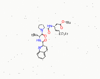 CCOC(=O)/C=C/[C@H](CC(=O)OC(C)(C)C)NC(=O)[C@H]1CCCN1C(=O)[C@@H](NC(=O)c1ccc2ccccc2n1)C(C)(C)C